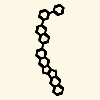 c1ccc(-c2cccc(-c3ccc4cc(-c5ccc6cc7sc8c9cc%10ccccc%10cc9sc8c7cc6c5)ccc4c3)c2)cc1